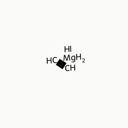 C#C.I.[MgH2]